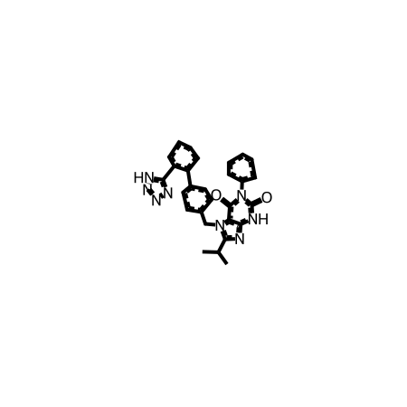 CC(C)c1nc2[nH]c(=O)n(-c3ccccc3)c(=O)c2n1Cc1ccc(-c2ccccc2-c2nnn[nH]2)cc1